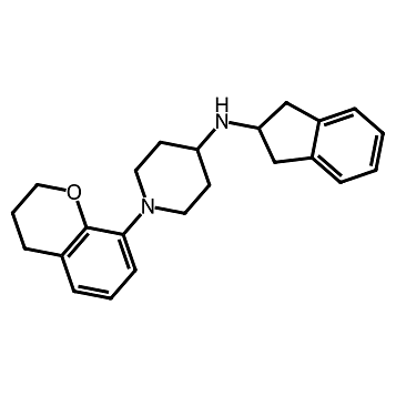 c1ccc2c(c1)CC(NC1CCN(c3cccc4c3OCCC4)CC1)C2